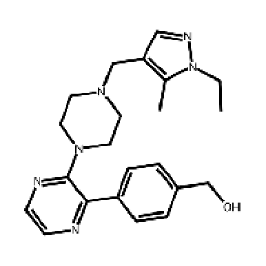 CCn1ncc(CN2CCN(c3nccnc3-c3ccc(CO)cc3)CC2)c1C